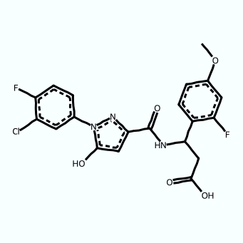 COc1ccc(C(CC(=O)O)NC(=O)c2cc(O)n(-c3ccc(F)c(Cl)c3)n2)c(F)c1